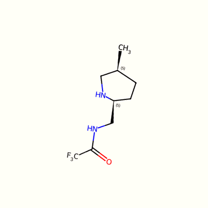 C[C@H]1CC[C@@H](CNC(=O)C(F)(F)F)NC1